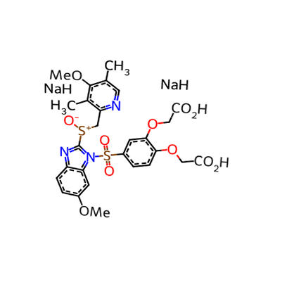 COc1ccc2nc([S+]([O-])Cc3ncc(C)c(OC)c3C)n(S(=O)(=O)c3ccc(OCC(=O)O)c(OCC(=O)O)c3)c2c1.[NaH].[NaH]